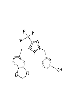 Oc1cccc(Cn2[c]c(Cc3ccc4c(c3)OCO4)c(C(F)(F)F)n2)c1